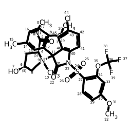 CNC(=O)[C@@H]1C[C@H](O)C[N+]1(C)C1(c2cc(C)ccc2OC)C(=O)N(S(=O)(=O)c2ccc(OC)cc2OC(F)(F)F)c2ccc(Cl)cc21